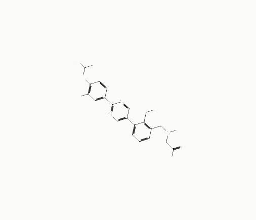 CCc1c(CN(C)CC(=O)O)cccc1-c1cnc(-c2ccc(OC(C)C)c(C)c2)nc1